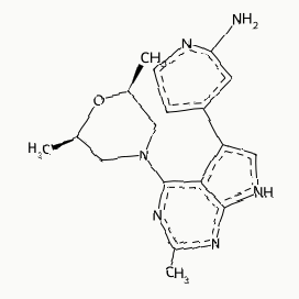 Cc1nc(N2C[C@@H](C)O[C@@H](C)C2)c2c(-c3ccnc(N)c3)c[nH]c2n1